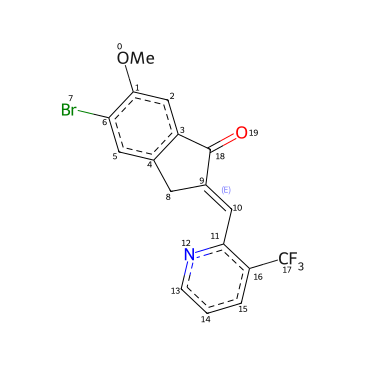 COc1cc2c(cc1Br)C/C(=C\c1ncccc1C(F)(F)F)C2=O